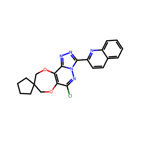 Clc1nn2c(-c3ccc4ccccc4n3)nnc2c2c1OCC1(CCCC1)CO2